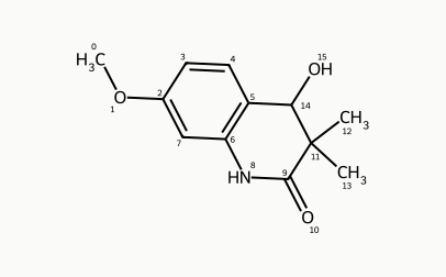 COc1ccc2c(c1)NC(=O)C(C)(C)C2O